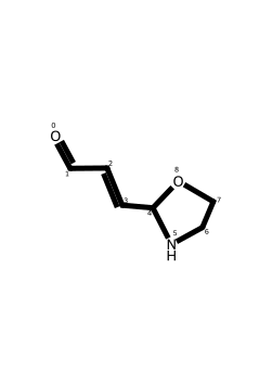 O=CC=CC1NCCO1